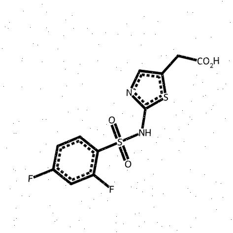 O=C(O)Cc1cnc(NS(=O)(=O)c2ccc(F)cc2F)s1